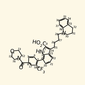 O=C(O)c1[nH]c2c(-c3ccc(C(=O)N4CCOCC4)cc3C(F)(F)F)cccc2c1CCCCN1CCCc2ccccc21